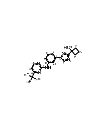 OC1(c2ncc(-c3cccc(Nc4nccc(C(F)(F)F)n4)c3)s2)CCC1